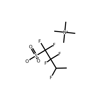 CC(F)C(F)(F)C(F)(F)S(=O)(=O)[O-].C[N+](C)(C)C